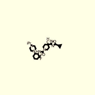 CC(C)N1CCN(C2CCCC(F)(F)[C@@H]2NC(=O)N2CCC(C)(c3noc(C4CC4)n3)CC2)CC1